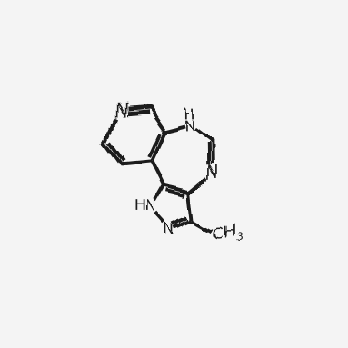 Cc1n[nH]c2c1N=CNc1cnccc1-2